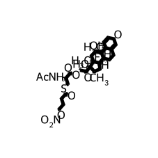 CC(=O)N[C@@H](CSC(=O)CCCO[N+](=O)[O-])C(=O)OCC(=O)[C@@]1(O)C(C)C[C@H]2[C@@H]3CCC4=CC(=O)C=C[C@]4(C)[C@@]3(F)C(O)C[C@@]21C